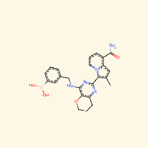 Cc1cc2c(C(N)=O)cccn2c1-c1nc2c(c(NCc3cccc(B(O)O)c3)n1)OCCC2